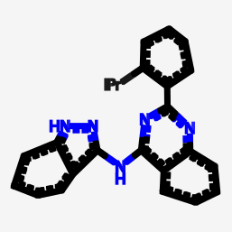 CC(C)c1ccccc1-c1nc(Nc2n[nH]c3ccccc23)c2ccccc2n1